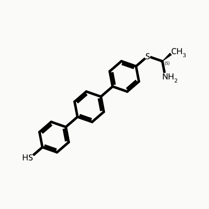 C[C@@H](N)Sc1ccc(-c2ccc(-c3ccc(S)cc3)cc2)cc1